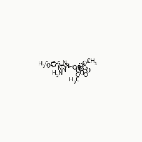 CCOC(OC=O)OP(=O)(COCCn1cnc2c(Sc3ccc(OC)cc3)nc(N)nc21)OC(OC=O)OCC